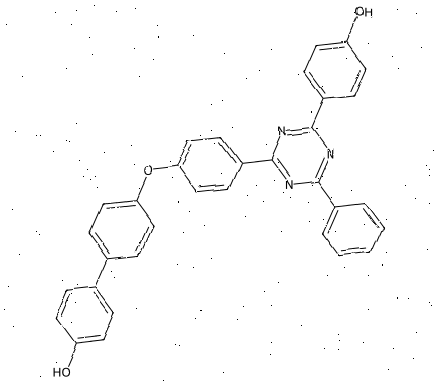 Oc1ccc(-c2ccc(Oc3ccc(-c4nc(-c5ccccc5)nc(-c5ccc(O)cc5)n4)cc3)cc2)cc1